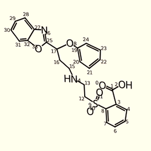 O=C(O)c1ccccc1S(=O)(=O)CCNCCC(Oc1ccccc1)c1nc2ccccc2o1